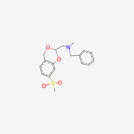 CN(Cc1ccccc1)CC1OCc2ccc(S(C)(=O)=O)cc2O1